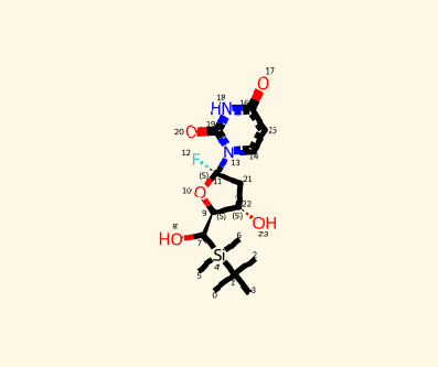 CC(C)(C)[Si](C)(C)C(O)[C@H]1O[C@@](F)(n2ccc(=O)[nH]c2=O)C[C@@H]1O